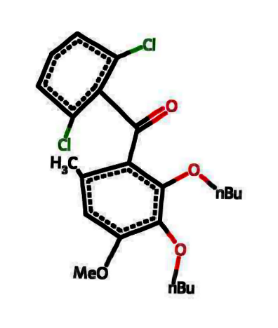 CCCCOc1c(OC)cc(C)c(C(=O)c2c(Cl)cccc2Cl)c1OCCCC